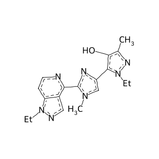 CCn1nc(C)c(O)c1-c1cn(C)c(-c2nccc3c2cnn3CC)n1